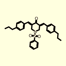 CCCc1ccc(C=C2CN(S(=O)(=O)c3ccccc3)CC(=Cc3ccc(CCC)cc3)C2=O)cc1